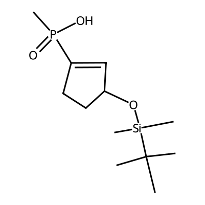 CC(C)(C)[Si](C)(C)OC1C=C(P(C)(=O)O)CC1